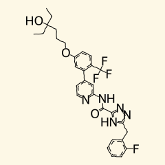 CCC(O)(CC)CCCOc1ccc(C(F)(F)F)c(-c2ccnc(NC(=O)c3nnc(Cc4ccccc4F)[nH]3)c2)c1